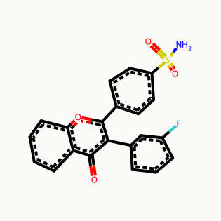 NS(=O)(=O)c1ccc(-c2oc3ccccc3c(=O)c2-c2cccc(F)c2)cc1